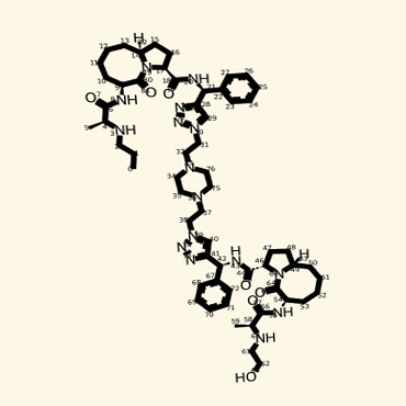 CCCN[C@@H](C)C(=O)N[C@H]1CCCC[C@H]2CC[C@@H](C(=O)N[C@@H](c3ccccc3)c3cn(CCN4CCN(CCn5cc([C@H](NC(=O)[C@@H]6CC[C@@H]7CCCC[C@H](NC(=O)[C@H](C)NCCO)C(=O)N76)c6ccccc6)nn5)CC4)nn3)N2C1=O